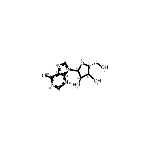 OC[C@H]1OC(n2cnc3c(Cl)ncnc32)[C@H](O)C1O